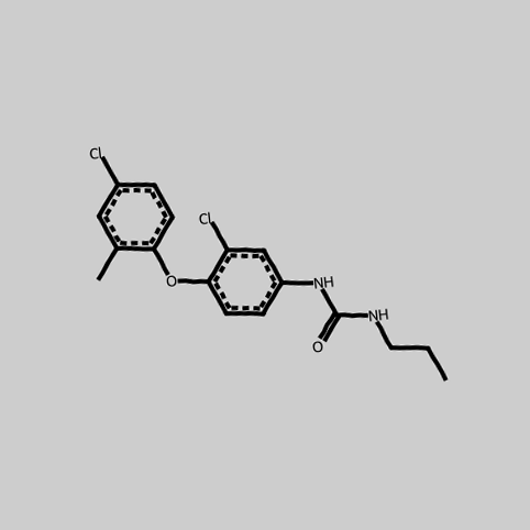 CCCNC(=O)Nc1ccc(Oc2ccc(Cl)cc2C)c(Cl)c1